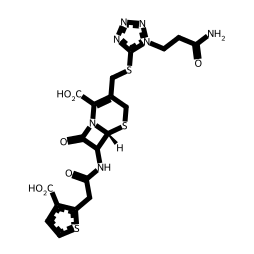 NC(=O)CCn1nnnc1SCC1=C(C(=O)O)N2C(=O)C(NC(=O)Cc3sccc3C(=O)O)[C@H]2SC1